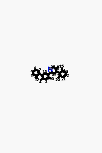 Cc1cc(C)c(-c2ccccc2C)cc1-c1cc(-c2c(C)cccc2C)c(C)cn1